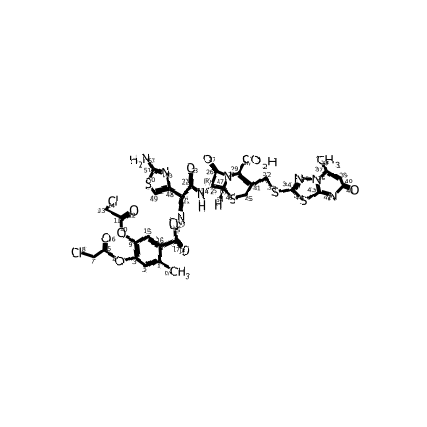 Cc1cc(OC(=O)CCl)c(OC(=O)CCl)cc1C(=O)ON=C(C(=O)N[C@@H]1C(=O)N2C(C(=O)O)=C(CSc3nn4c(C)cc(=O)nc4s3)CS[C@H]12)c1csc(N)n1